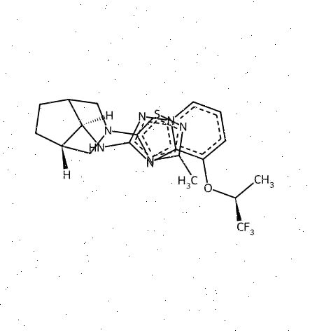 Cc1nsc(N2CC3CC[C@@H](C2)[C@@H]3Nc2nc3c(O[C@@H](C)C(F)(F)F)cccn3n2)n1